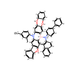 Cc1cc(C(C)(C)C)ccc1N1c2cc3c(cc2B2c4c1cc1c(oc5ccccc51)c4-c1c(ccc4ccccc14)N2c1ccc(-c2ccccc2)cc1)Oc1ccccc1O3